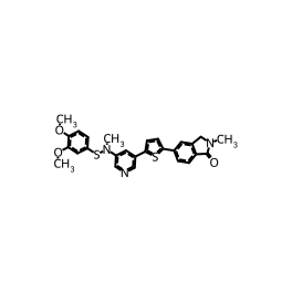 COc1ccc(SN(C)c2cncc(-c3ccc(-c4ccc5c(c4)CN(C)C5=O)s3)c2)cc1OC